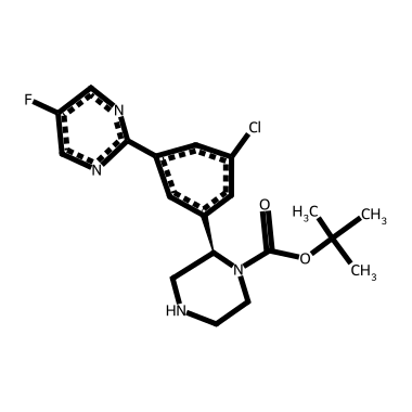 CC(C)(C)OC(=O)N1CCNC[C@H]1c1cc(Cl)cc(-c2ncc(F)cn2)c1